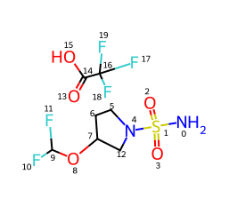 NS(=O)(=O)N1CCC(OC(F)F)C1.O=C(O)C(F)(F)F